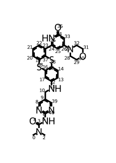 CN(C)C(=O)Nc1ncc(CNc2ccc3c(c2)Sc2cccc(-c4cc(N5CCOCC5)cc(=O)[nH]4)c2S3)cn1